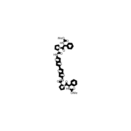 COC(=O)N[C@@H](C(=O)N1CCC[C@H]1C(=O)Nc1cc2sc(-c3cc4sc(NC(=O)[C@@H]5CCCN5C(=O)[C@H](NC(=O)OC)c5ccccc5)cc4s3)cc2s1)c1ccccc1